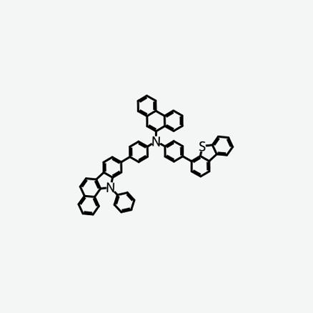 c1ccc(-n2c3cc(-c4ccc(N(c5ccc(-c6cccc7c6sc6ccccc67)cc5)c5cc6ccccc6c6ccccc56)cc4)ccc3c3ccc4ccccc4c32)cc1